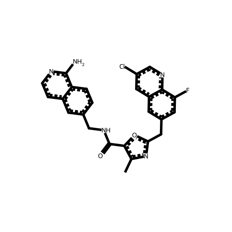 Cc1nc(Cc2cc(F)c3ncc(Cl)cc3c2)oc1C(=O)NCc1ccc2c(N)nccc2c1